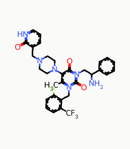 Cc1c(N2CCN(Cc3ccc[nH]c3=O)CC2)c(=O)n(CC(N)c2ccccc2)c(=O)n1Cc1c(F)cccc1C(F)(F)F